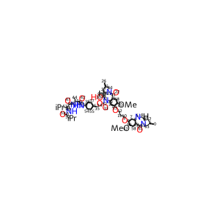 C=C1C[C@H]2C=Nc3cc(OCCCOc4cc5c(cc4OC)C(=O)N4CC(=C)C[C@H]4C(O)N5C(=O)OCc4ccc(NC(=O)[C@H](C)NC(=O)[C@@H](NC(=O)C(C)C)C(C)C)cc4)c(OC)cc3C(=O)N2C1